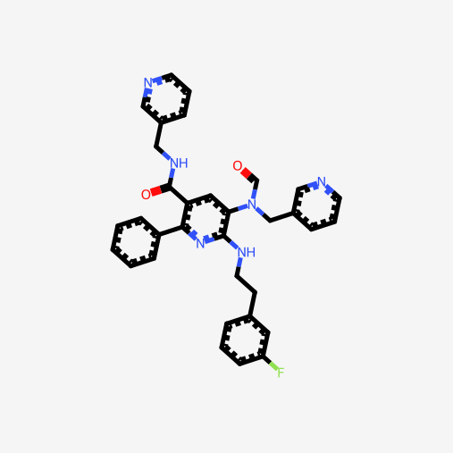 O=CN(Cc1cccnc1)c1cc(C(=O)NCc2cccnc2)c(-c2ccccc2)nc1NCCc1cccc(F)c1